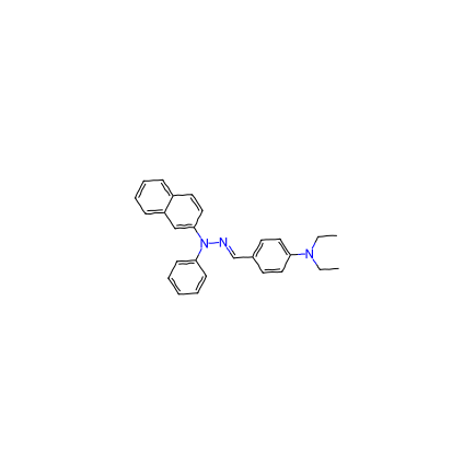 CCN(CC)c1ccc(C=NN(c2ccccc2)c2ccc3ccccc3c2)cc1